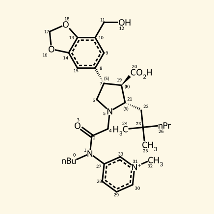 CCCCN(C(=O)CN1C[C@H](c2cc(CO)c3c(c2)OCO3)[C@@H](C(=O)O)[C@@H]1CC(C)(C)CCC)c1ccc[n+](C)c1